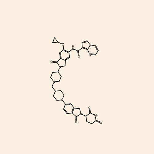 O=C1CCC(N2Cc3cc(N4CCC(CN5CCC(N6Cc7cc(NC(=O)c8cnn9cccnc89)c(OC8CC8)cc7C6=O)CC5)CC4)ccc3C2=O)C(=O)N1